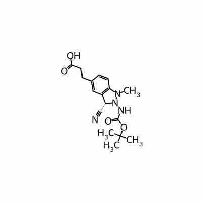 CN1c2ccc(CCC(=O)O)cc2[C@@H](C#N)N1NC(=O)OC(C)(C)C